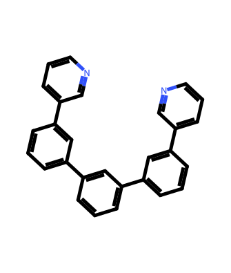 c1cncc(-c2cccc(-c3cccc(-c4cccc(-c5cccnc5)c4)c3)c2)c1